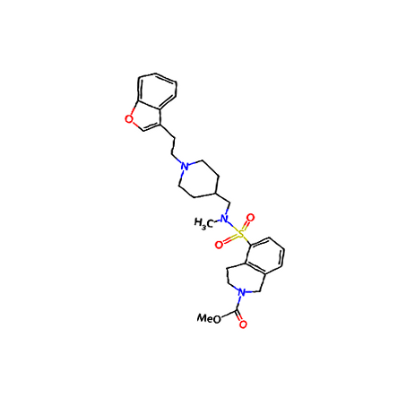 COC(=O)N1CCc2c(cccc2S(=O)(=O)N(C)CC2CCN(CCc3coc4ccccc34)CC2)C1